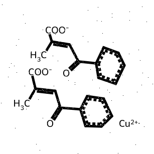 C/C(=C\C(=O)c1ccccc1)C(=O)[O-].C/C(=C\C(=O)c1ccccc1)C(=O)[O-].[Cu+2]